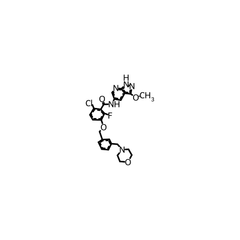 COc1n[nH]c2ncc(NC(=O)c3c(Cl)ccc(OCc4cccc(CN5CCOCC5)c4)c3F)cc12